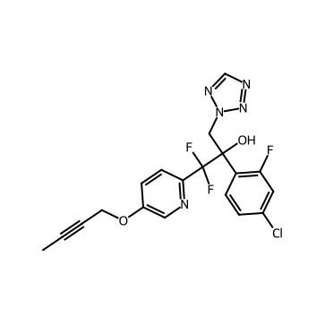 CC#CCOc1ccc(C(F)(F)C(O)(Cn2ncnn2)c2ccc(Cl)cc2F)nc1